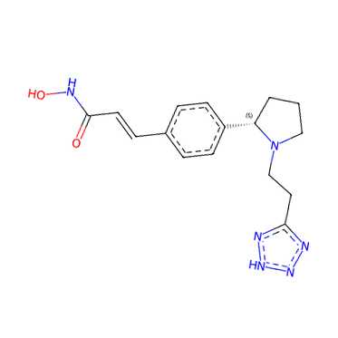 O=C(C=Cc1ccc([C@@H]2CCCN2CCc2nn[nH]n2)cc1)NO